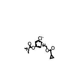 CN(C)C(=O)Oc1ccc[n+](COC(=O)C2CC2)c1.[Cl-]